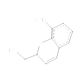 Bc1cccc2c1OC(CO)C=C2